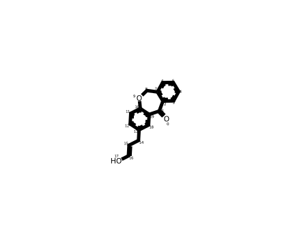 O=C1c2ccccc2COc2ccc(CC=CO)cc21